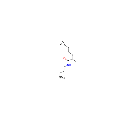 CNCCCNC(=O)C(C)CCCC1CC1